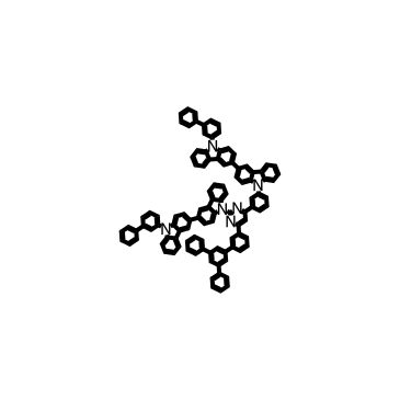 c1ccc(-c2cc(-c3ccccc3)cc(-c3cccc(-c4cc(-c5cccc(-n6c7ccccc7c7cc(-c8ccc9c(c8)c8ccccc8n9-c8cccc(-c9ccccc9)c8)ccc76)c5)nc(-n5c6ccccc6c6cc(-c7ccc8c(c7)c7ccccc7n8-c7cccc(-c8ccccc8)c7)ccc65)n4)c3)c2)cc1